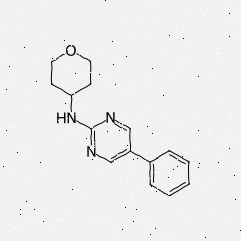 c1ccc(-c2cnc(NC3CCOCC3)nc2)cc1